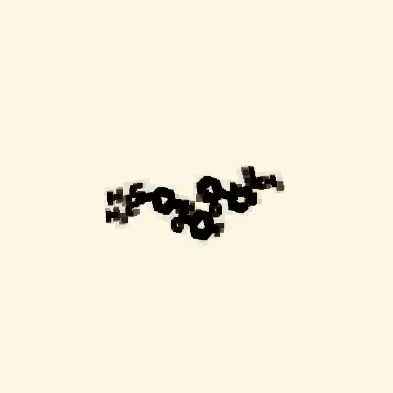 CNc1nccc(-c2cccnc2Oc2cc(C(=O)Nc3ccc(C(C)C)cc3)ccc2F)n1